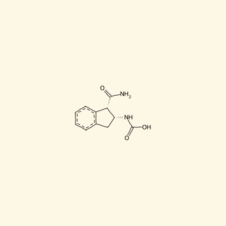 NC(=O)[C@H]1c2ccccc2C[C@H]1NC(=O)O